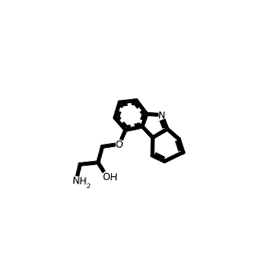 NCC(O)COc1cccc2c1C1C=CC=CC1=N2